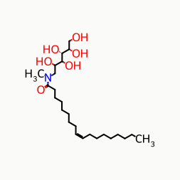 CCCCCCCC/C=C\CCCCCCCC(=O)N(C)CC(O)C(O)[C@H](O)[C@H](O)CO